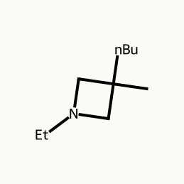 CCCCC1(C)CN(CC)C1